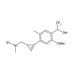 CCN(C)CC1C=C1c1cc(OC)c(C(O)C(F)(F)F)cc1C